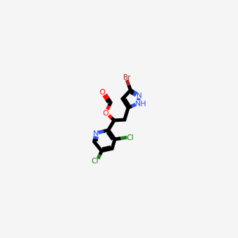 O=COC(Cc1cc(Br)n[nH]1)c1ncc(Cl)cc1Cl